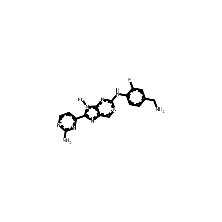 CCn1c(-c2ccnc(N)n2)nc2cnc(Nc3ccc(CN)cc3F)nc21